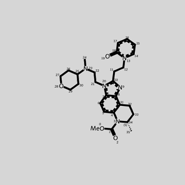 COC(=O)N1c2ccc3c(nc(CCn4ccccc4=O)n3CCN(C)C3CCOCC3)c2CC[C@@H]1C